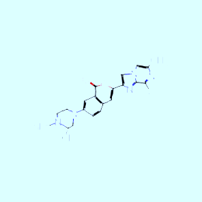 CCCN1CCN(c2ccc3cc(-c4cn5cc(C)nc(C)c5n4)oc(=O)c3c2)C[C@H]1C